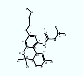 CCCCCc1cc(OC(=O)CN(C)C)c2c(c1)OC(C)(C)C1CCC(C)=CC21